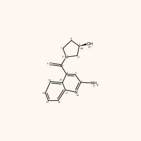 Nc1cc(C(=O)N2CC[C@@H](O)C2)c2ccccc2n1